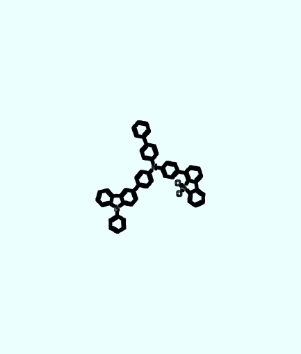 O=S1(=O)c2ccccc2-c2cccc(-c3ccc(N(c4ccc(-c5ccccc5)cc4)c4ccc(-c5ccc6c(c5)c5ccccc5n6-c5ccccc5)cc4)cc3)c21